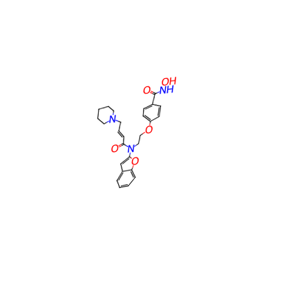 O=C(NO)c1ccc(OCCN(C(=O)C=CCN2CCCCC2)c2cc3ccccc3o2)cc1